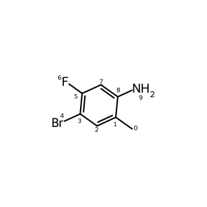 Cc1cc(Br)c(F)cc1N